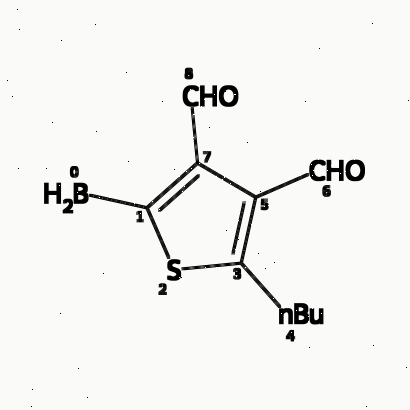 Bc1sc(CCCC)c(C=O)c1C=O